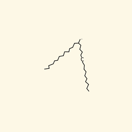 [CH2]C(CCCCCCCCCCCCC)CCCCCCCCCCCCCCC